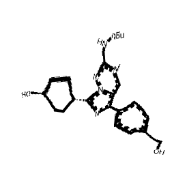 CCCCNc1ncc2c(-c3ccc(CO)cc3)nc([C@H]3CC[C@H](O)CC3)n2n1